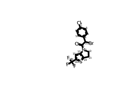 O=C(C(Br)c1ccc(Cl)cc1)N1CCc2sc(C(F)(F)F)cc21